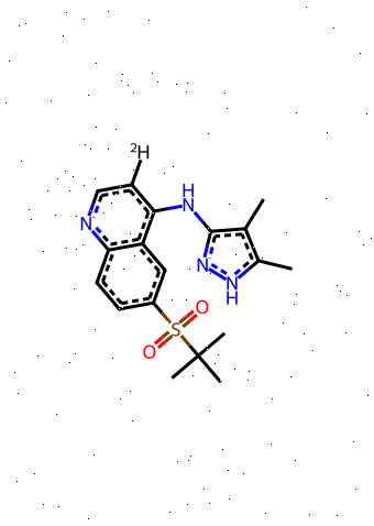 [2H]c1cnc2ccc(S(=O)(=O)C(C)(C)C)cc2c1Nc1n[nH]c(C)c1C